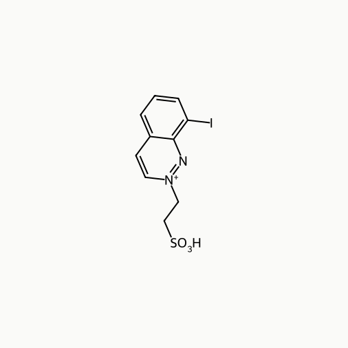 O=S(=O)(O)CC[n+]1ccc2cccc(I)c2n1